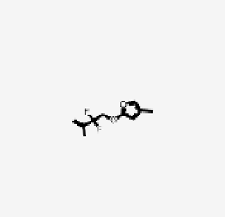 C=C(C)C(F)(F)COc1cc(C)co1